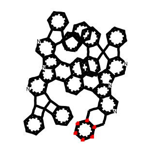 c1ccc2c(c1)-c1ccccc1C21c2ccccc2-c2ncc3c(c21)c1c2ccc4c5c(ccc(c25)c2c5c6c(ncc5n3c21)C1c2ccccc2C6c2ccccc21)c1c2c3c(ncc2n2c5cnc6c(c5c4c12)C1(c2ccccc2-c2ccccc21)c1ccccc1-6)C1c2ccccc2C12c1ccccc1C32